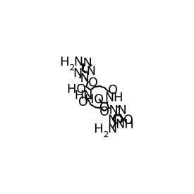 Nc1nc2c(ncn2C2OC3CCC(=O)NC4C(CCC(=O)NC2C3O)OC(n2cnc3c(N)ncnc32)C4O)c(=O)[nH]1